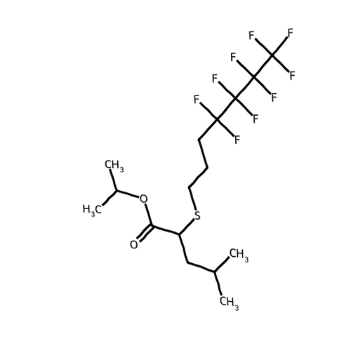 CC(C)CC(SCCCC(F)(F)C(F)(F)C(F)(F)C(F)(F)F)C(=O)OC(C)C